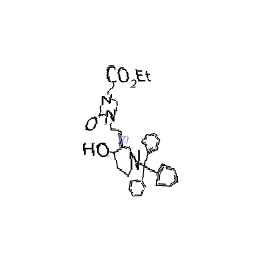 CCOC(=O)CCN1CCN(C/C=C2/CN(C(c3ccccc3)(c3ccccc3)c3ccccc3)CCC2O)C(=O)C1